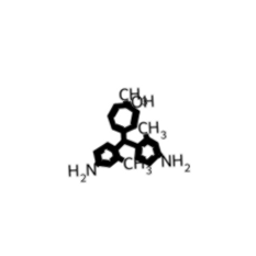 Cc1cc(N)ccc1C(C1=CC=CC(C)(O)C=C1)c1ccc(N)cc1C